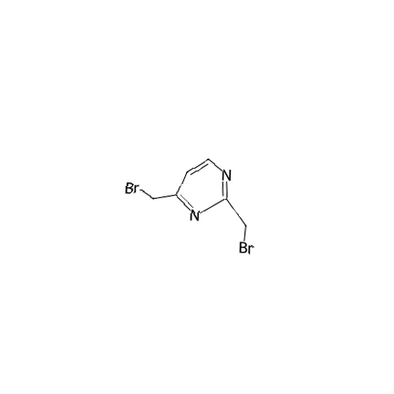 BrCc1ccnc(CBr)n1